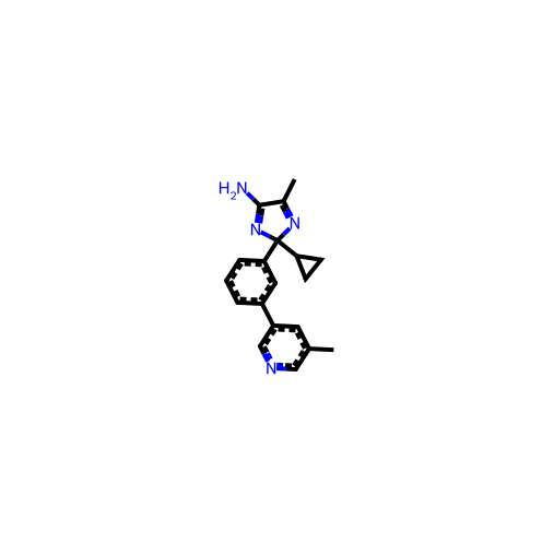 CC1=NC(c2cccc(-c3cncc(C)c3)c2)(C2CC2)N=C1N